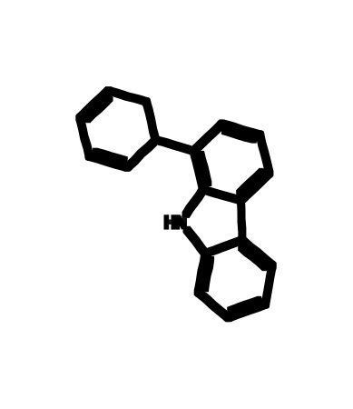 C1=CCC(c2cccc3c2[nH]c2ccccc23)C=C1